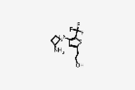 NC1CCC1.Nc1cc(CCO)sc1C(F)(F)F